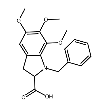 COc1cc2c(c(OC)c1OC)N(Cc1ccccc1)C(C(=O)O)C2